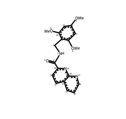 COc1cc(OC)c(CNC(=O)c2ccc3cccnc3n2)c(OC)c1